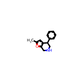 Cc1cc2c(o1)CNCC2c1ccccc1